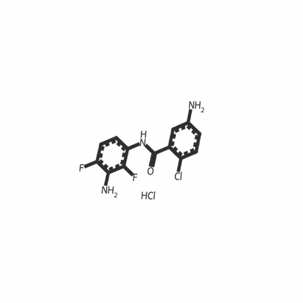 Cl.Nc1ccc(Cl)c(C(=O)Nc2ccc(F)c(N)c2F)c1